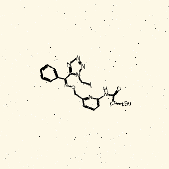 CC(C)(C)OC(=O)Nc1cccc(CON=C(c2ccccc2)c2nnnn2CI)n1